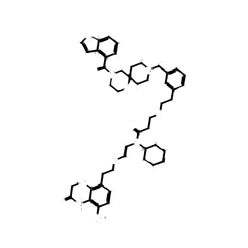 O=C1COc2c(CCNCCN(C(=O)CCOCCc3cccc(CN4CCC5(CC4)CN(C(=O)c4cccc6[nH]ccc46)CCO5)c3)C3CCCCC3)ccc(O)c2N1